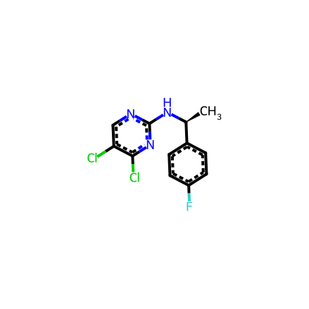 C[C@H](Nc1ncc(Cl)c(Cl)n1)c1ccc(F)cc1